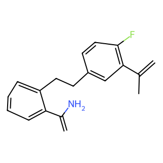 C=C(C)c1cc(CCc2ccccc2C(=C)N)ccc1F